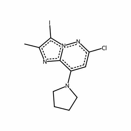 Cc1nc2c(N3CCCC3)cc(Cl)nn2c1I